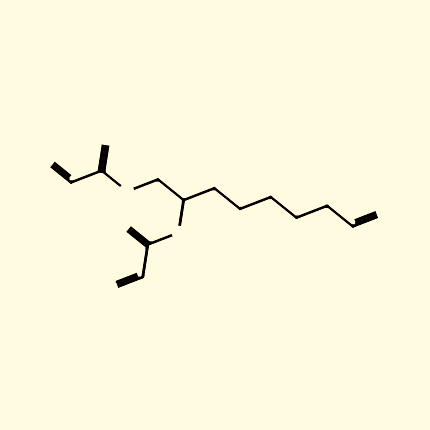 C=CCCCCCC(COC(=O)C=C)OC(=O)C=C